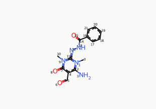 Cn1c(N)c(C=O)c(=O)n(C)c1=NNC(=O)c1ccccc1